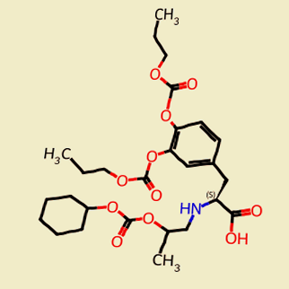 CCCOC(=O)Oc1ccc(C[C@H](NCC(C)OC(=O)OC2CCCCC2)C(=O)O)cc1OC(=O)OCCC